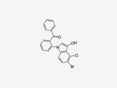 O=C(c1ccccc1)c1ccccc1-n1cc(O)c2c(Cl)c(Br)ccc21